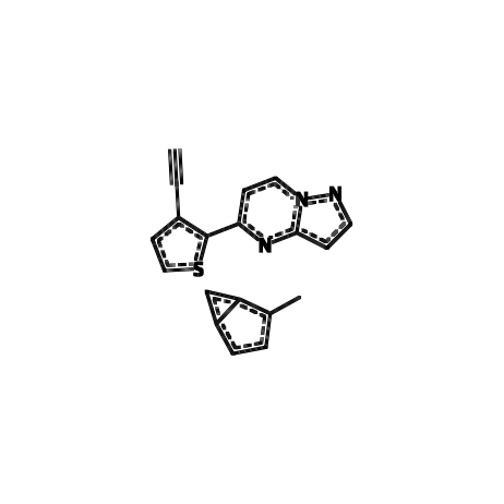 C#Cc1ccsc1-c1ccn2nccc2n1.Cc1ccc2cc1-2